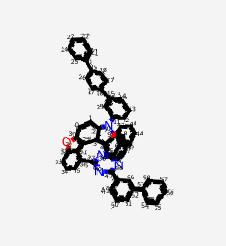 C1=CC2C(c3ccccc3N2c2cccc(-c3ccc(-c4ccccc4)cc3)c2)c2c1oc1cccc(-c3nc(-c4ccccc4)nc(-c4cccc(-c5ccccc5)c4)n3)c21